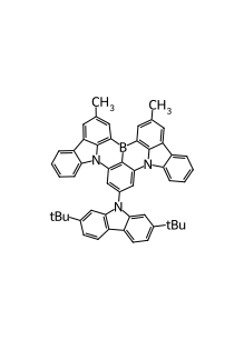 Cc1cc2c3c(c1)c1ccccc1n3-c1cc(-n3c4cc(C(C)(C)C)ccc4c4ccc(C(C)(C)C)cc43)cc3c1B2c1cc(C)cc2c4ccccc4n-3c12